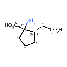 N[C@@]1(C(=O)O)CCC[C@H]1CC(=O)O